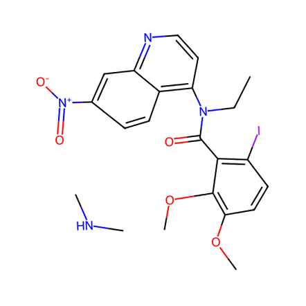 CCN(C(=O)c1c(I)ccc(OC)c1OC)c1ccnc2cc([N+](=O)[O-])ccc12.CNC